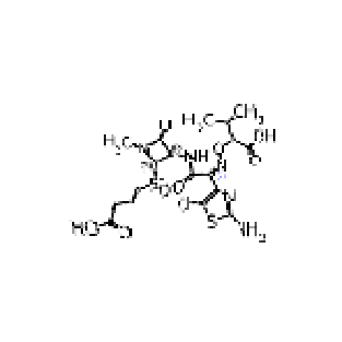 CC(C)C(O/N=C(\C(=O)N[C@@H]1C(=O)N(C)[C@@H]1[S+]([O-])CCCC(=O)O)c1nc(N)sc1Cl)C(=O)O